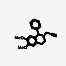 C#CCN1CCc2cc(OC)c(OC)cc2C1c1ccccc1